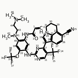 C=CC(=O)Nc1cc(Nc2ncc(C(F)(F)F)c(-c3cn4c5c(c(C#N)ccc35)CCC4)n2)c(OC(F)(F)F)cc1N(C)CCN(C)C